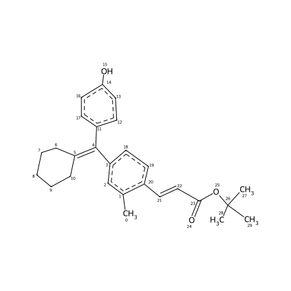 Cc1cc(C(=C2CCCCC2)c2ccc(O)cc2)ccc1C=CC(=O)OC(C)(C)C